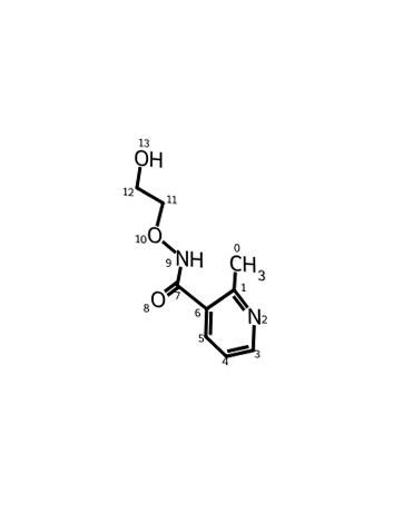 Cc1ncccc1C(=O)NOCCO